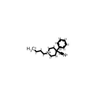 CCCCN1CCC(C#N)(c2ccccc2)CC1